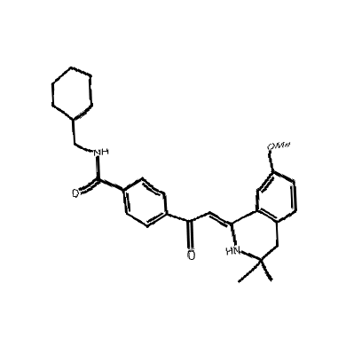 COc1ccc2c(c1)/C(=C/C(=O)c1ccc(C(=O)NCC3CCCCC3)cc1)NC(C)(C)C2